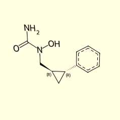 NC(=O)N(O)C[C@@H]1C[C@H]1c1ccccc1